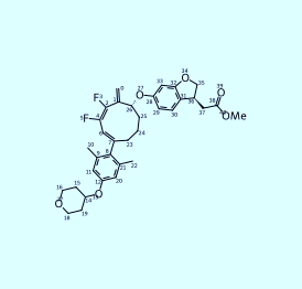 C=C1/C(F)=C(F)\C=C(\c2c(C)cc(OC3CCOCC3)cc2C)CCC[C@H]1Oc1ccc2c(c1)OC[C@H]2CC(=O)OC